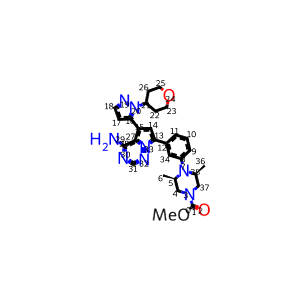 COC(=O)N1C[C@@H](C)N(c2cccc(-c3cc(-c4ccnn4C4CCOCC4)c4c(N)ncnn34)c2)[C@@H](C)C1